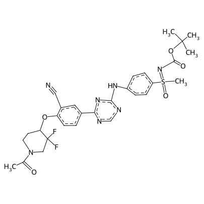 CC(=O)N1CCC(Oc2ccc(-c3ncnc(Nc4ccc(S(C)(=O)=NC(=O)OC(C)(C)C)cc4)n3)cc2C#N)C(F)(F)C1